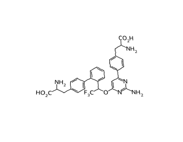 Nc1nc(OC(c2ccccc2-c2ccc(CC(N)C(=O)O)cc2)C(F)(F)F)cc(-c2ccc(CC(N)C(=O)O)cc2)n1